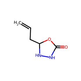 C=CCC1NNC(=O)O1